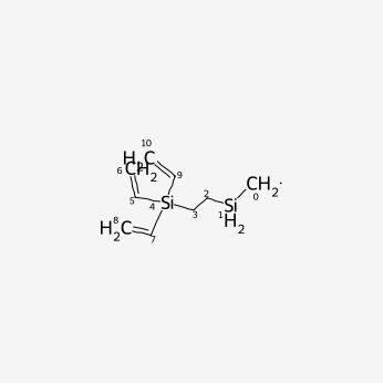 [CH2][SiH2]CC[Si](C=C)(C=C)C=C